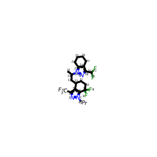 CC(C)n1nc(C(F)(F)F)c2c1C(F)(F)CCC2CC(C)n1nc(C(F)F)c2c1CCCC2